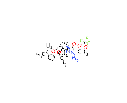 CC(C)c1cccc(C(C)C)c1OC(=O)CC(C)(C)CNC(=O)[C@@H](N)[C@@H](C)OC(=O)C(F)(F)F